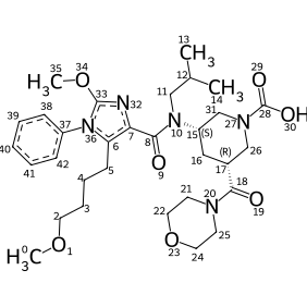 COCCCCc1c(C(=O)N(CC(C)C)[C@H]2C[C@@H](C(=O)N3CCOCC3)CN(C(=O)O)C2)nc(OC)n1-c1ccccc1